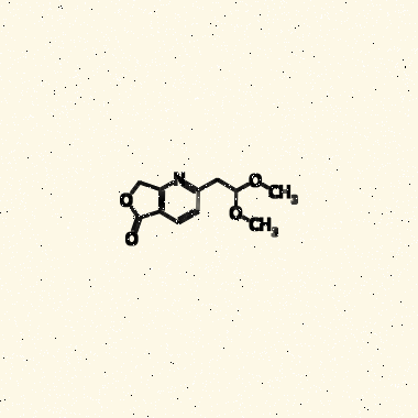 COC(Cc1ccc2c(n1)COC2=O)OC